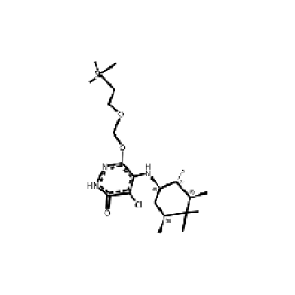 C[C@@H]1[C@@H](C)C(C)(C)[C@@H](C)C[C@H]1Nc1c(OCOCC[Si](C)(C)C)n[nH]c(=O)c1Cl